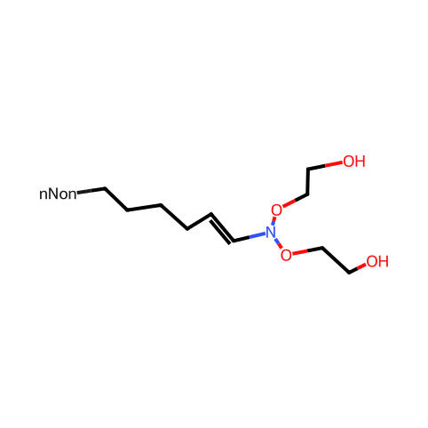 CCCCCCCCCCCCCC=CN(OCCO)OCCO